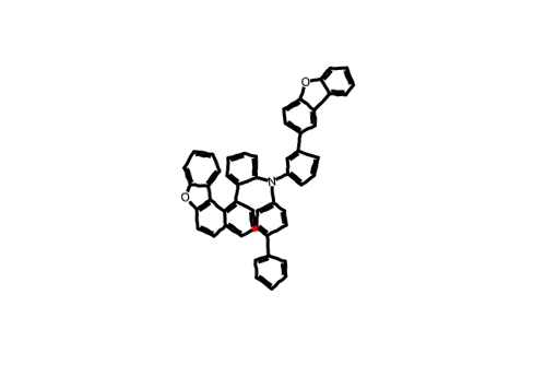 c1ccc(-c2ccc(N(c3cccc(-c4ccc5oc6ccccc6c5c4)c3)c3ccccc3-c3cccc4ccc5oc6ccccc6c5c34)cc2)cc1